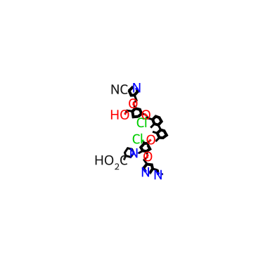 C/N=C/c1cncc(COc2cc(OCc3cccc(-c4cccc(COc5cc(OCc6cncc(C#N)c6)c(CO)cc5Cl)c4C)c3C)c(Cl)cc2CN2CCCC(C(=O)O)C2)c1